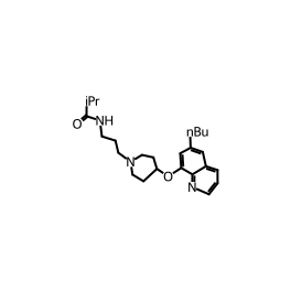 CCCCc1cc(OC2CCN(CCCNC(=O)C(C)C)CC2)c2ncccc2c1